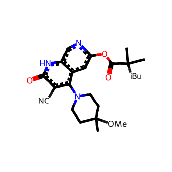 CCC(C)C(C)(C)C(=O)Oc1cc2c(N3CCC(C)(OC)CC3)c(C#N)c(=O)[nH]c2cn1